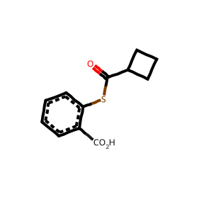 O=C(O)c1ccccc1SC(=O)C1CCC1